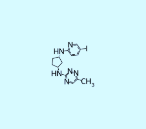 Cc1cnc(N[C@H]2CC[C@H](Nc3ccc(I)cn3)C2)nn1